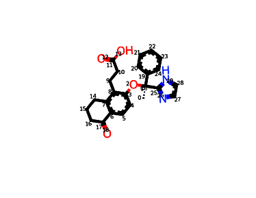 C[C@](Oc1ccc2c(c1CCC(=O)O)CCCC2=O)(c1ccccc1)c1ncc[nH]1